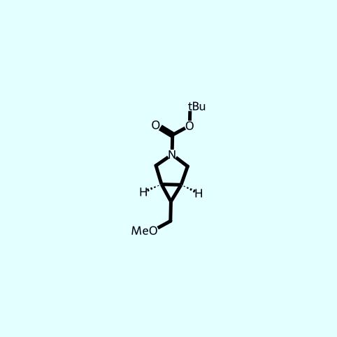 COCC1[C@H]2CN(C(=O)OC(C)(C)C)C[C@@H]12